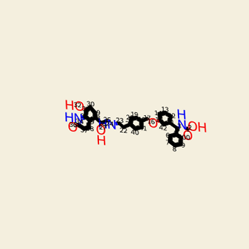 O=C(O)NC(c1ccccc1)c1cccc(OCc2ccc(CCNCC(O)c3ccc(O)c4[nH]c(=O)ccc34)cc2)c1